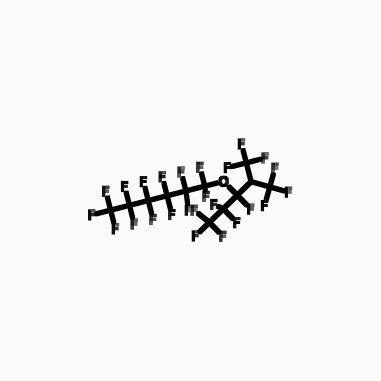 FC(F)(F)C(C(F)(F)F)C(F)(OC(F)(F)C(F)(F)C(F)(F)C(F)(F)C(F)(F)C(F)(F)F)C(F)(F)C(F)(F)F